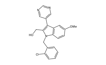 COc1ccc2c(c1)c(-c1cncnc1)c(CO)n2Cc1ccccc1Cl